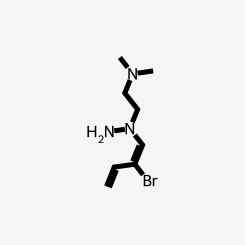 C=C/C(Br)=C\N(N)CCN(C)C